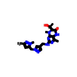 Cc1nc(NCc2cnn(Cc3cc(C(F)(F)F)nn3C)c2)nc2c1NC(=O)[C@H]([C@H](C)O)N2C